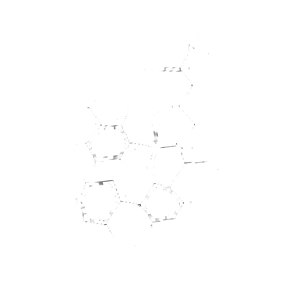 Cc1cnccc1-c1cccc(C(C)N(CCCC(N)=O)S(=O)(=O)c2cccc(Cl)c2C)c1